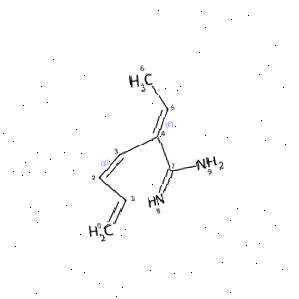 C=C/C=C\C(=C/C)C(=N)N